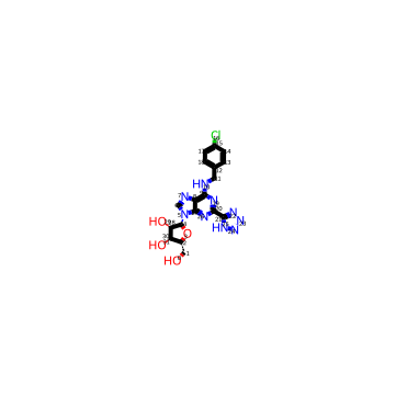 OC[C@H]1O[C@@H](n2cnc3c(NCc4ccc(Cl)cc4)nc(-c4nnn[nH]4)nc32)[C@@H](O)[C@H]1O